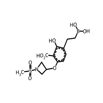 CS(=O)(=O)N1CC(Oc2ccc(CCB(O)O)c(O)c2C(=O)O)C1